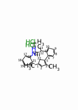 CC1=CC(C)=C(c2ccccc2[CH](C)[Ti][NH]c2ccccc2)C1.Cl.Cl